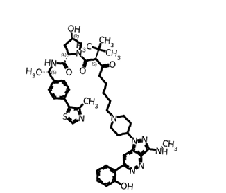 CNc1nn(C2CCN(CCCCCC(=O)[C@@H](C(=O)N3C[C@H](O)C[C@H]3C(=O)N[C@@H](C)c3ccc(-c4scnc4C)cc3)C(C)(C)C)CC2)c2cc(-c3ccccc3O)nnc12